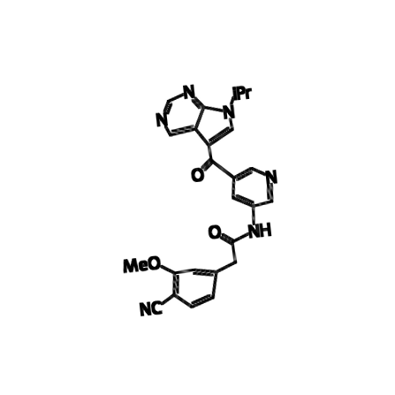 COc1cc(CC(=O)Nc2cncc(C(=O)c3cn(C(C)C)c4ncncc34)c2)ccc1C#N